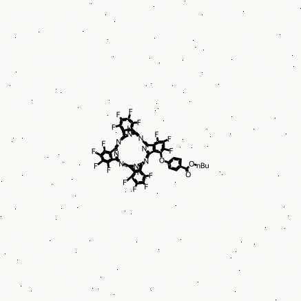 CCCCOC(=O)c1ccc(Oc2c(F)c(F)c(F)c3c2-c2nc-3nc3[nH]c(nc4nc(nc5[nH]c(n2)c2c(F)c(F)c(F)c(F)c52)-c2c(F)c(F)c(F)c(F)c2-4)c2c(F)c(F)c(F)c(F)c32)cc1